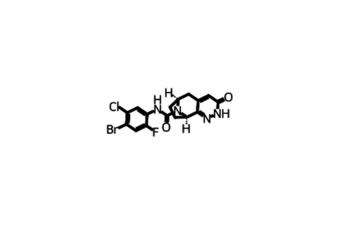 O=C(Nc1cc(Cl)c(Br)cc1F)N1[C@H]2CC[C@@H]1c1n[nH]c(=O)cc1C2